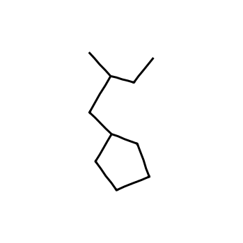 CCC(C)CC1CCCC1